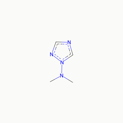 CN(C)n1cncn1